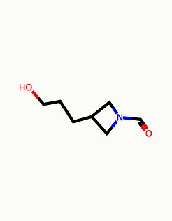 O=CN1CC(CCCO)C1